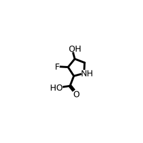 O=C(O)C1NCC(O)C1F